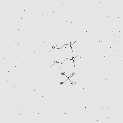 COCC[SiH](C)C.COCC[SiH](C)C.O=P(O)(O)O